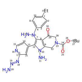 CCc1ccc(N(N)c2c3c(n(N)c2-c2ccnc(N=NN)c2)CN(C(=O)OC(C)(C)C)CC3=O)cc1